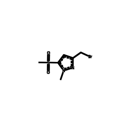 Cn1nc(CBr)cc1S(C)(=O)=O